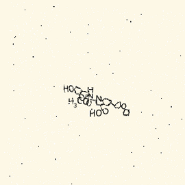 COC(=O)[C@H](Cc1ccc(O)cc1)NC(=O)c1cc(C(=O)O)c2cc(-c3ccc(Oc4ccccc4)cc3)ccc2n1